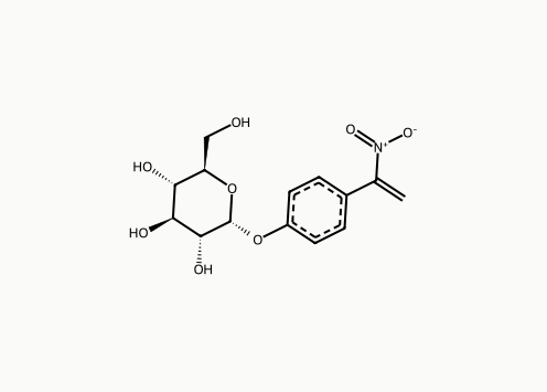 C=C(c1ccc(O[C@H]2O[C@H](CO)[C@@H](O)[C@H](O)[C@H]2O)cc1)[N+](=O)[O-]